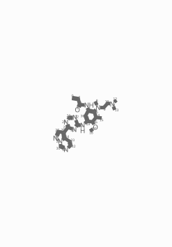 C=CC(=O)NC1=C(N(C)CCN(C)C)C(C)C(OC)C(Nc2ncnc(-c3cnn4cnccc34)n2)=C1